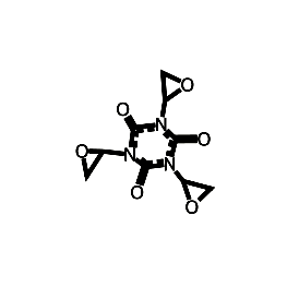 O=c1n(C2CO2)c(=O)n(C2CO2)c(=O)n1C1CO1